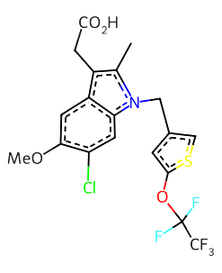 COc1cc2c(CC(=O)O)c(C)n(Cc3csc(OC(F)(F)C(F)(F)F)c3)c2cc1Cl